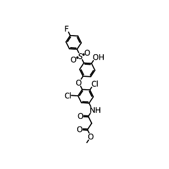 COC(=O)CC(=O)Nc1cc(Cl)c(Oc2ccc(O)c(S(=O)(=O)c3ccc(F)cc3)c2)c(Cl)c1